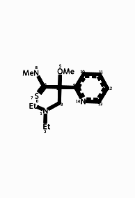 CCN(CC)CC(OC)(C(=S)NC)c1ccccn1